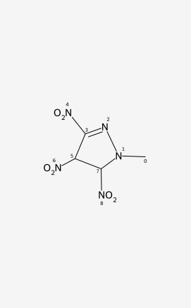 CN1N=C([N+](=O)[O-])C([N+](=O)[O-])C1[N+](=O)[O-]